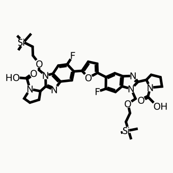 C[Si](C)(C)CCOCn1c(C2CCCN2C(=O)O)nc2cc(-c3ccc(-c4cc5nc(C6CCCN6C(=O)O)n(COCC[Si](C)(C)C)c5cc4F)o3)c(F)cc21